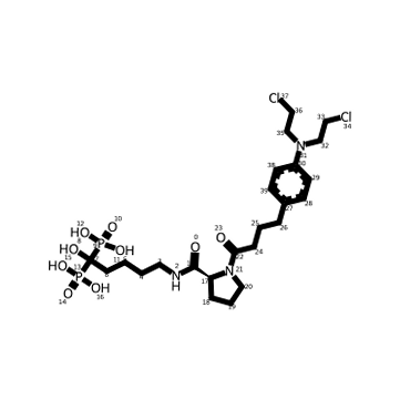 O=C(NCCCCC(O)(P(=O)(O)O)P(=O)(O)O)[C@@H]1CCCN1C(=O)CCCc1ccc(N(CCCl)CCCl)cc1